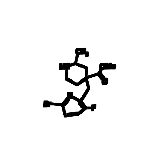 COC(=O)C1(Cc2nc(Br)ccc2F)CCNC(C)C1